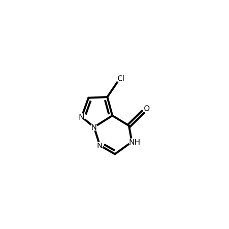 O=c1[nH]cnn2ncc(Cl)c12